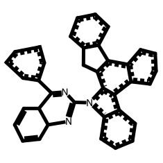 C1=CC2N=C(n3c4ccccc4c4c5ccccc5c5c(c43)Cc3ccccc3-5)N=C(c3ccccc3)C2C=C1